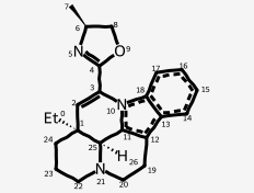 CC[C@@]12C=C(C3=N[C@@H](C)CO3)n3c4c(c5ccccc53)CCN(CCC1)[C@H]42